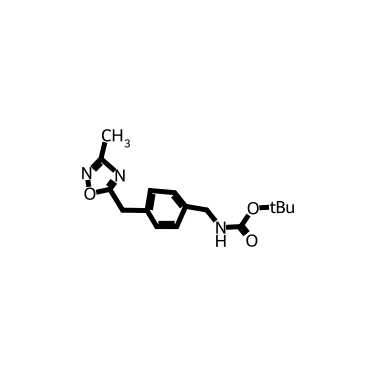 Cc1noc(Cc2ccc(CNC(=O)OC(C)(C)C)cc2)n1